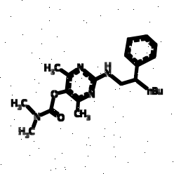 CCCCC(CNc1nc(C)c(OC(=O)N(C)C)c(C)n1)c1ccccc1